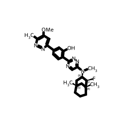 COc1cc(-c2ccc(-c3ncc(N(C)[C@@H]4C[C@@]5(C)CCC[C@](C)(C5)[C@@H]4F)nn3)c(O)c2)nnc1C